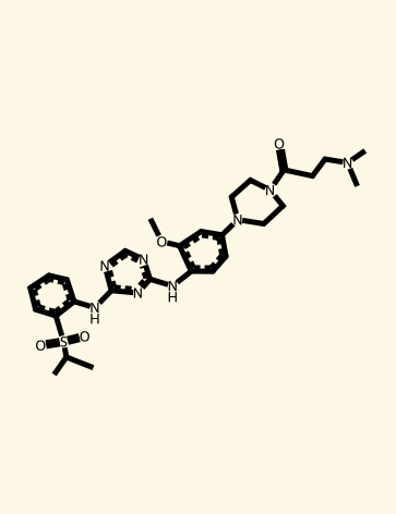 COc1cc(N2CCN(C(=O)CCN(C)C)CC2)ccc1Nc1ncnc(Nc2ccccc2S(=O)(=O)C(C)C)n1